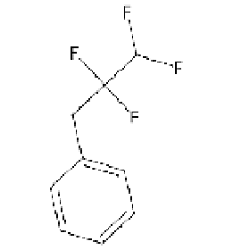 FC(F)C(F)(F)Cc1ccccc1